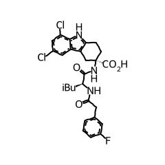 CCC(C)[C@H](NC(=O)Cc1cccc(F)c1)C(=O)N[C@]1(C(=O)O)CCc2[nH]c3c(Cl)cc(Cl)cc3c2C1